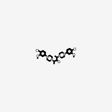 COc1cc(N2CCN(C(C)C(=O)C(C)N3CCN(c4ccc(Cl)c(OC)c4)CC3)CC2)ccc1Cl